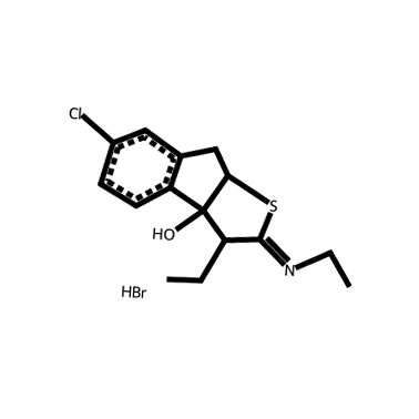 Br.CCN=C1SC2Cc3cc(Cl)ccc3C2(O)C1CC